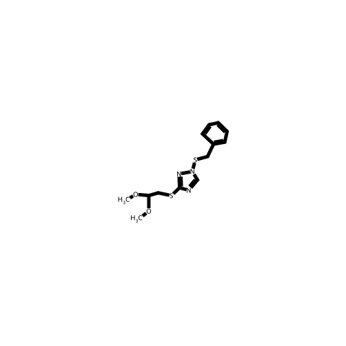 COC(CSc1ncn(SCc2ccccc2)n1)OC